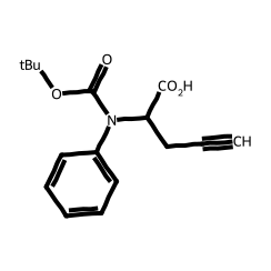 C#CCC(C(=O)O)N(C(=O)OC(C)(C)C)c1ccccc1